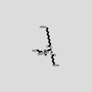 CCCCCCCCCCCCCCCCCCCC(=O)O[C@H](COC(=O)CCCCCCCCCCCCCC)COP(=O)(O)OC[C@@H](O)CO